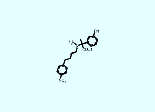 CC(C(=O)O)(c1cccc(C#N)c1)N(N)CCCCc1ccc([N+](=O)[O-])cc1